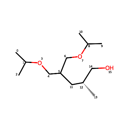 CC(C)OCC(COC(C)C)C[C@@H](C)CO